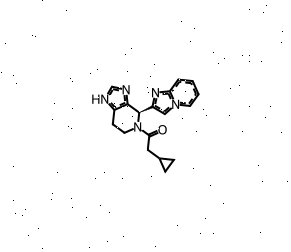 O=C(CC1CC1)N1CCc2[nH]cnc2[C@H]1c1cn2ccccc2n1